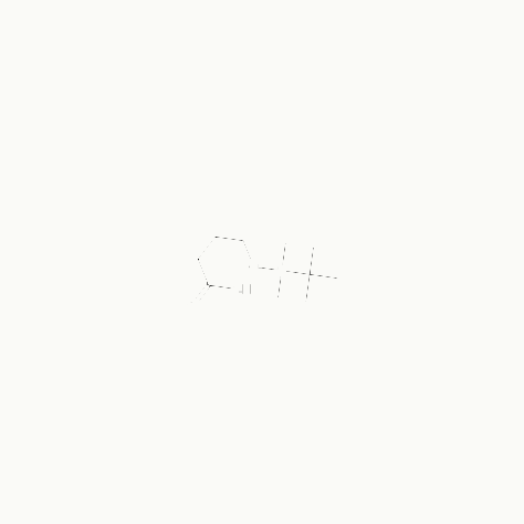 C[C@H](CO[Si](C)(C)C(C)(C)C)CC(=O)S